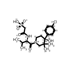 CC(C)[C@@H](NC(=O)CS(=O)(=O)O)C(=O)N1CC[C@](O)(c2ccc(Cl)cc2)C(C)(C)C1